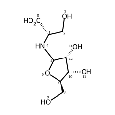 O=C(O)[C@H](CO)NC1O[C@H](CO)[C@@H](O)[C@H]1O